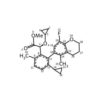 COC(=O)[C@@H](OC1CC1)c1c(C)ccc(C2CC2)c1-c1cc(F)c2c(c1C)CCCO2